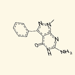 Cn1nc(-c2ccccc2)c2c(=O)[nH]c(N)nc21